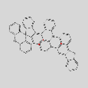 c1ccc(N(c2ccccc2-c2ccc3sc4ccccc4c3c2)c2ccccc2-c2cccc3c2-c2ccccc2C32c3ccccc3Oc3ccccc32)cc1